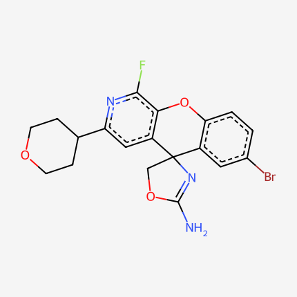 NC1=NC2(CO1)c1cc(Br)ccc1Oc1c2cc(C2CCOCC2)nc1F